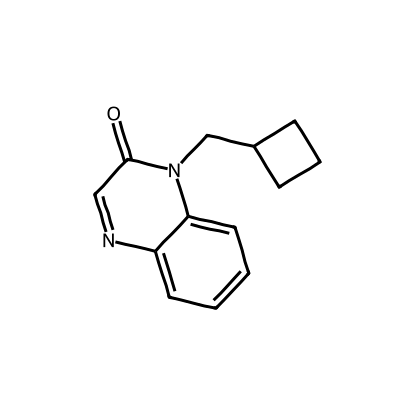 O=c1cnc2ccccc2n1CC1CCC1